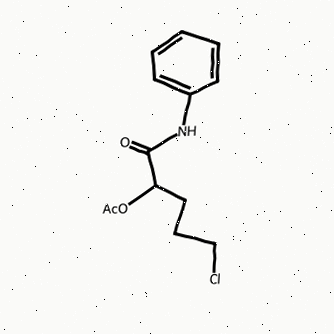 CC(=O)OC(CCCCl)C(=O)Nc1ccccc1